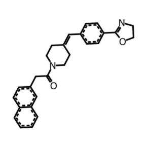 O=C(Cc1ccc2ccccc2c1)N1CCC(=Cc2ccc(C3=NCCO3)cc2)CC1